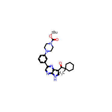 CC(C)(C)OC(=O)N1CCN(c2cccc(-c3cnc4[nH]cc(C(=O)C5(C)CCCCC5)c4n3)c2)CC1